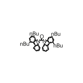 CCCCc1cc(CCCC)c2c3ccccc3n(C(=O)n3c4ccccc4c4c(CCCC)cc(CCCC)cc43)c2c1